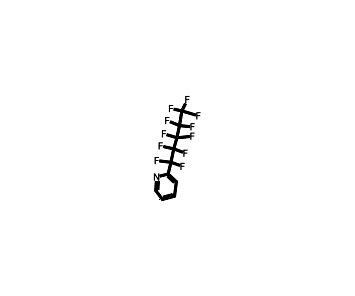 FC(F)(F)C(F)(F)C(F)(F)C(F)(F)C(F)(F)c1cc[c]cn1